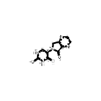 O=C1c2nccnc2CN1c1c[nH]c(=O)[nH]c1=O